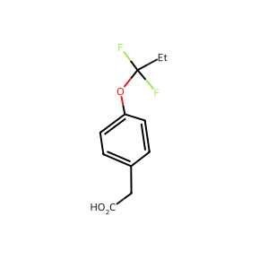 CCC(F)(F)Oc1ccc(CC(=O)O)cc1